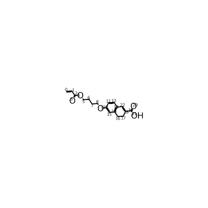 C=CC(=O)OCCCCOc1ccc2c(c1)CCC(C(=O)O)=C2